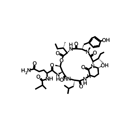 CC[C@H](C)[C@@H]1NC(=O)[C@H](Cc2ccc(O)cc2)N(C)C(=O)[C@H]([C@@H](C)CC)N2C(=O)[C@H](CC[C@H]2O)NC(=O)[C@H](CC(C)C)NC(=O)[C@@H](NC(=O)C(CCC(N)=O)NC(=O)C(C)C)[C@@H](C)OC1=O